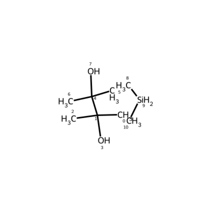 CC(C)(O)C(C)(C)O.C[SiH2]C